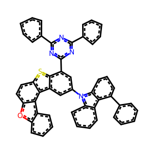 c1ccc(-c2nc(-c3ccccc3)nc(-c3cc(-n4c5ccccc5c5c(-c6ccccc6)cccc54)cc4c3sc3ccc5oc6ccccc6c5c34)n2)cc1